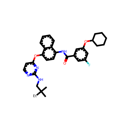 CCC(C)(C)CNc1nccc(Oc2ccc(NC(=O)c3cc(F)cc(OC4CCCCC4)c3)c3ccccc23)n1